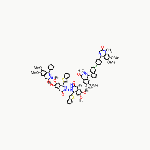 CCOc1cc2c(cc1OCC)C(C(C)C)C(=O)NN=C2c1cc2ccccc2s1.CCOc1cc2c(cc1OCC)C(c1cc3ccccc3s1)=NNC(=O)C2.COc1cc2c(cc1OC)C(c1cccc3ccccc13)=NN(C)C(=O)C2.COc1cc2c(cc1OC)C(c1ccccc1)=NNC(=O)C2.COc1cc2c(cc1OC)N(C)C(=O)CN=C2c1ccc(Cl)cc1